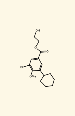 CCc1cc(C(=O)OCCO)cc(C2CCCCC2)c1OC